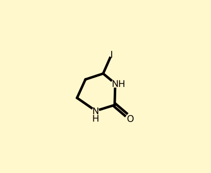 O=C1NCCC(I)N1